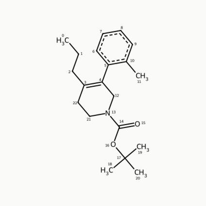 CCCC1=C(c2ccccc2C)CN(C(=O)OC(C)(C)C)CC1